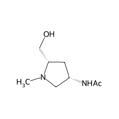 CC(=O)N[C@H]1C[C@@H](CO)N(C)C1